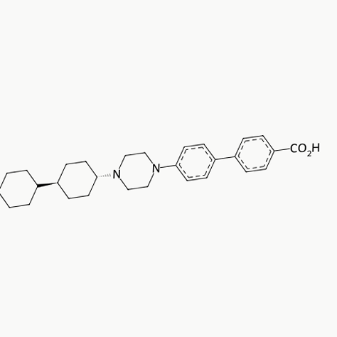 O=C(O)c1ccc(-c2ccc(N3CCN([C@H]4CC[C@H](C5CCCCC5)CC4)CC3)cc2)cc1